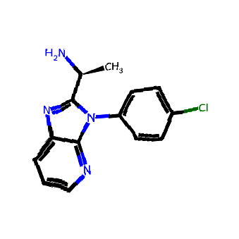 C[C@H](N)c1nc2cccnc2n1-c1ccc(Cl)cc1